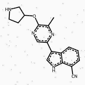 Cc1nc(-c2c[nH]c3c(C#N)cccc23)cnc1OC1CCNC1